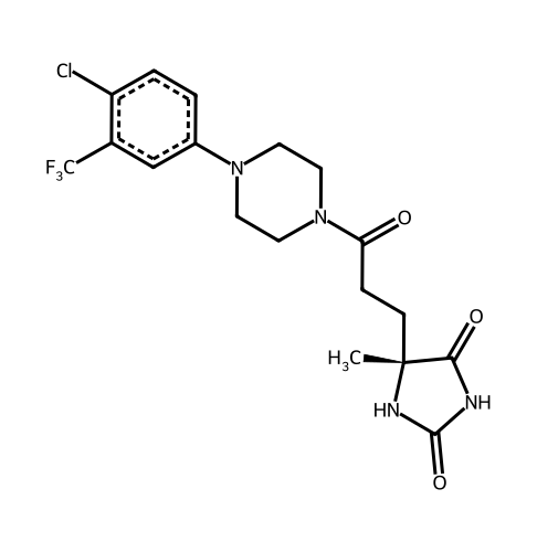 C[C@]1(CCC(=O)N2CCN(c3ccc(Cl)c(C(F)(F)F)c3)CC2)NC(=O)NC1=O